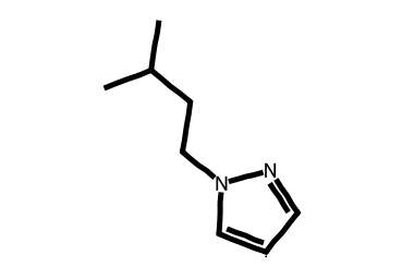 CC(C)CCn1c[c]cn1